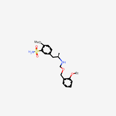 CCOc1ccccc1COCN[C@H](C)Cc1ccc(OC)c(S(N)(=O)=O)c1